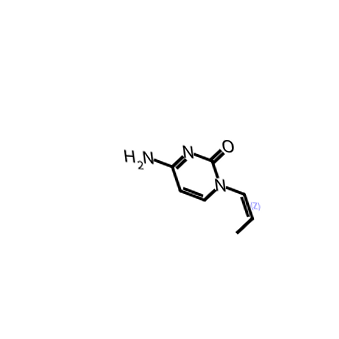 C/C=C\n1ccc(N)nc1=O